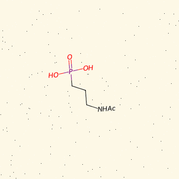 CC(=O)NCCCP(=O)(O)O